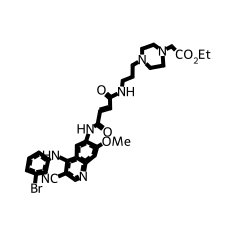 CCOC(=O)CN1CCN(CCCNC(=O)C=CC(=O)Nc2cc3c(Nc4cccc(Br)c4)c(C#N)cnc3cc2OC)CC1